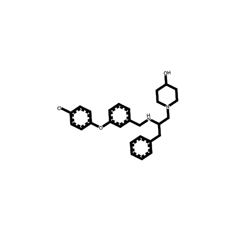 OC1CCN(CC(Cc2ccccc2)NCc2cccc(Oc3ccc(Cl)cc3)c2)CC1